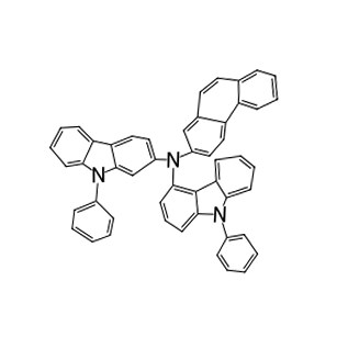 c1ccc(-n2c3ccccc3c3ccc(N(c4ccc5c(ccc6ccccc65)c4)c4cccc5c4c4ccccc4n5-c4ccccc4)cc32)cc1